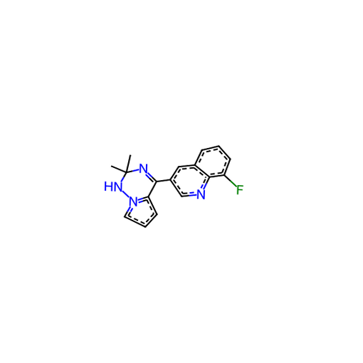 CC1(C)N=C(c2cnc3c(F)cccc3c2)c2cccn2N1